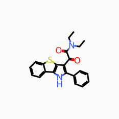 CCN(CC)C(=O)C(=O)c1c(-c2ccccc2)[nH]c2c1sc1ccccc12